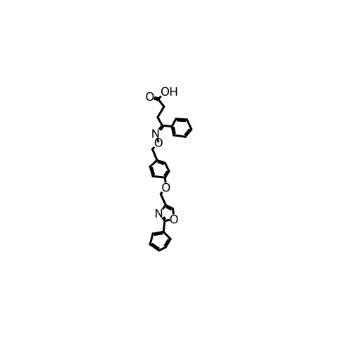 O=C(O)CCC(=NOCc1ccc(OCc2coc(-c3ccccc3)n2)cc1)c1ccccc1